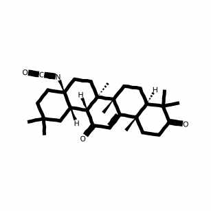 CC1(C)CC[C@]2(N=C=O)CC[C@]3(C)[C@H](C(=O)C=C4[C@@]5(C)CCC(=O)C(C)(C)[C@@H]5CC[C@]43C)[C@@H]2C1